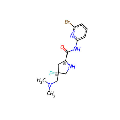 CN(C)C[C@]1(F)CN[C@H](C(=O)Nc2cccc(Br)n2)C1